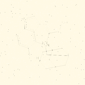 CC(C)(C)OC(=O)NC12CC3CC(C1)C(Nc1c(C(=O)O)cnc4[nH]ccc14)C(C3)C2